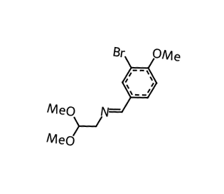 COc1ccc(C=NCC(OC)OC)cc1Br